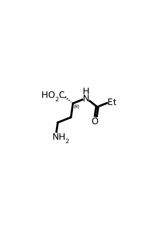 CCC(=O)N[C@H](CCN)C(=O)O